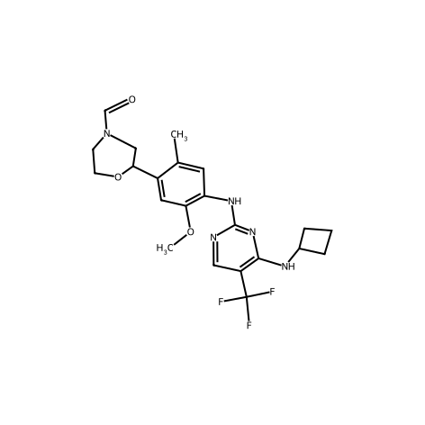 COc1cc(C2CN(C=O)CCO2)c(C)cc1Nc1ncc(C(F)(F)F)c(NC2CCC2)n1